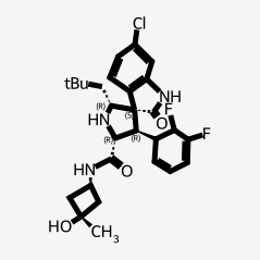 CC(C)(C)C[C@H]1N[C@@H](C(=O)N[C@H]2C[C@@](C)(O)C2)[C@H](C2C=CC=C(F)C2F)[C@@]12C(=O)Nc1cc(Cl)ccc12